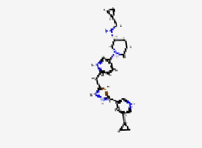 c1ncc(C2CC2)cc1-c1nnc(Cc2ccc(N3CCC[C@@H](NCC4CC4)C3)cn2)s1